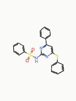 O=S(=O)(Nc1nc(Sc2ccccc2)cc(-c2ccccc2)n1)c1ccccc1